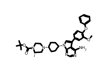 COc1cc(-c2cn([C@H]3CC[C@@H](N4CCN(C(=O)OC(C)(C)C)[C@@H](C)C4)CC3)c3ncnc(N)c23)ccc1Oc1ccccc1